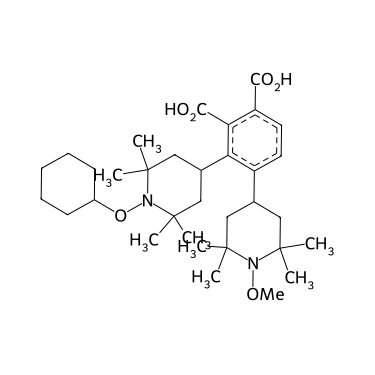 CON1C(C)(C)CC(c2ccc(C(=O)O)c(C(=O)O)c2C2CC(C)(C)N(OC3CCCCC3)C(C)(C)C2)CC1(C)C